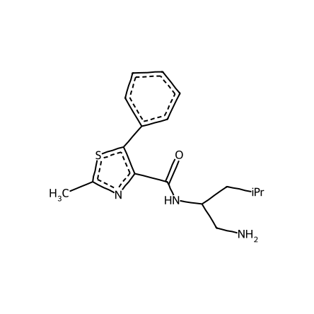 Cc1nc(C(=O)NC(CN)CC(C)C)c(-c2ccccc2)s1